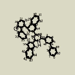 c1ccc(-c2cccc(C3N=C(c4cc(-c5cccc6oc7ccccc7c56)c5ccccc5c4)N=C(c4ccc5ccccc5c4)N3)c2)cc1